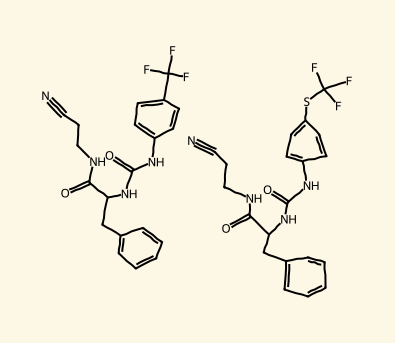 N#CCCNC(=O)C(Cc1ccccc1)NC(=O)Nc1ccc(C(F)(F)F)cc1.N#CCCNC(=O)C(Cc1ccccc1)NC(=O)Nc1ccc(SC(F)(F)F)cc1